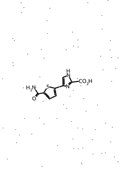 NC(=O)c1ccc(-c2c[nH]c(C(=O)O)n2)s1